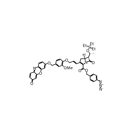 CC[Si](CC)(CC)O[C@H](C)[C@H]1C(=O)N2C(C(=O)OCc3ccc(N=[N+]=[N-])cc3)=C(/C=C/COc3ccc(COc4ccc5nc6ccc(=O)cc-6oc5c4)cc3OC)C[C@H]12